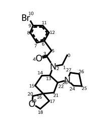 CCN(C(=O)Cc1ccc(Br)cc1)C1CCC2(CCOC2)CC1N1CCCC1